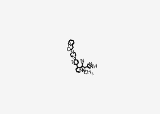 CN1C(c2cn[nH]c2)C(C#N)=C2C(c3ccc(N4CCN(C(=O)Cc5ccccn5)CC4)nc3)=CC=CN21